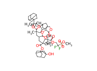 COS(=O)(=O)C(F)(F)COC(=O)C(C)(C)CC(C)(CC(CC(C)(CC1C2CCC(C2)C1C)C(=O)OC(C)(C)C12CC3CC(CC(C3)C1)C2)C(=O)OC1CCOC1=O)C(=O)OC12CC3CC(CC(O)(C3)C1)C2